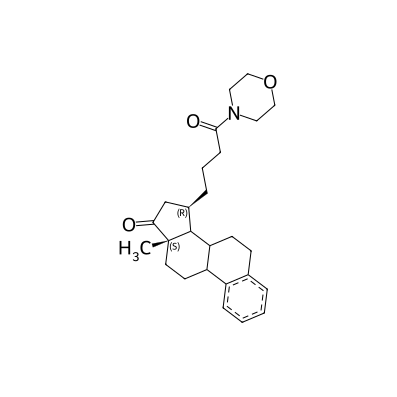 C[C@]12CCC3c4ccccc4CCC3C1[C@H](CCCC(=O)N1CCOCC1)CC2=O